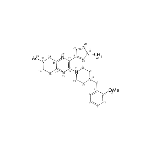 COc1ccccc1CN1CCN(c2nc3c(nc2-c2cnn(C)c2)CN(C(C)=O)CC3)CC1